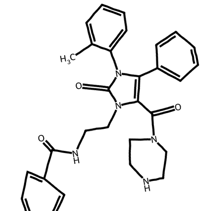 Cc1ccccc1-n1c(-c2ccccc2)c(C(=O)N2CCNCC2)n(CCNC(=O)c2ccccc2)c1=O